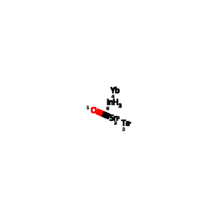 [InH3].[O]=[Sn].[Ta].[Yb]